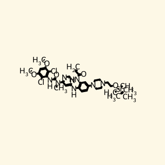 C=CC(=O)Nc1cc(N2CCN(CCO[Si](C)(C)C(C)(C)C)CC2)ccc1Nc1cc(N(C)C(=O)Nc2c(Cl)c(OC)cc(OC)c2Cl)ncn1